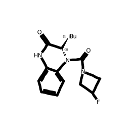 CC[C@H](C)[C@H]1C(=O)Nc2ccccc2N1C(=O)N1CC(F)C1